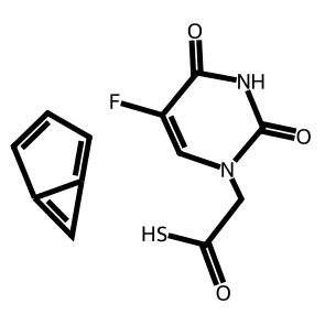 O=C(S)Cn1cc(F)c(=O)[nH]c1=O.c1cc2cc-2c1